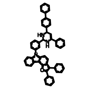 C1=C(c2ccccc2)NC(c2cccc(-n3c4ccccc4c4c5oc(-c6ccccc6)c(-c6ccccc6)c5ccc43)c2)NC1c1ccc(-c2ccccc2)cc1